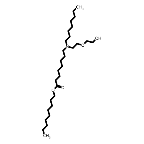 CCCCCCCCCOC(=O)CCCCCCCN(CCCCCCCC)CCOCCO